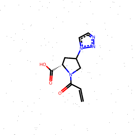 C=CC(=O)N1CC(n2ccnn2)C[C@H]1C(=O)O